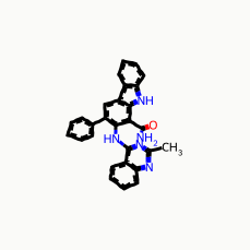 Cc1nc(Nc2c(-c3ccccc3)cc3c([nH]c4ccccc43)c2C(N)=O)c2ccccc2n1